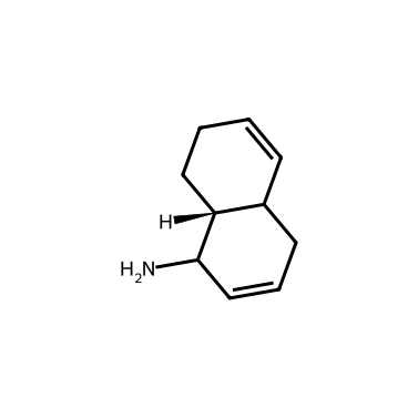 NC1C=CCC2C=CCC[C@@H]12